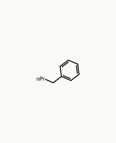 [CH2]CCCc1[c]cccc1